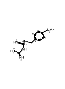 CNc1ccc(CNC(=N)NC(=N)N)cc1